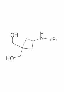 CCCNC1CC(CO)(CO)C1